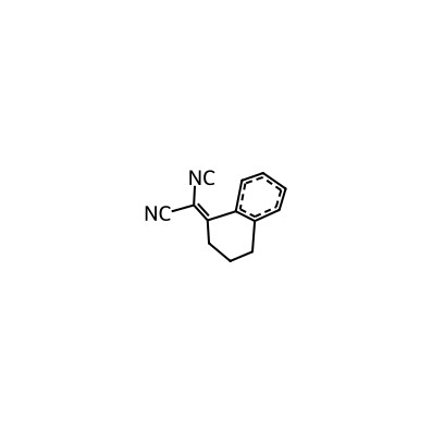 [C-]#[N+]/C(C#N)=C1/CCCc2ccccc21